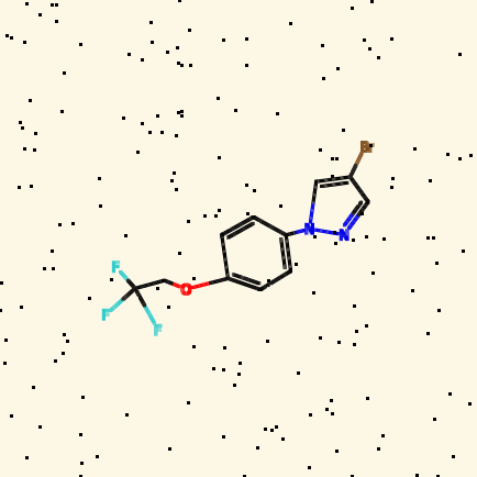 FC(F)(F)COc1ccc(-n2cc(Br)cn2)cc1